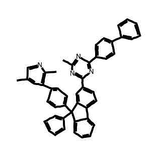 Cc1cnc(C)c(-c2ccc(C3(c4ccccc4)c4ccccc4-c4ccc(-c5nc(C)nc(-c6ccc(-c7ccccc7)cc6)n5)cc43)cc2)c1